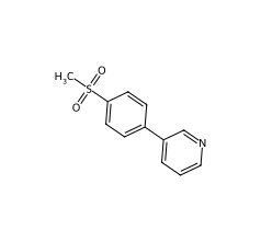 CS(=O)(=O)c1ccc(-c2cccnc2)cc1